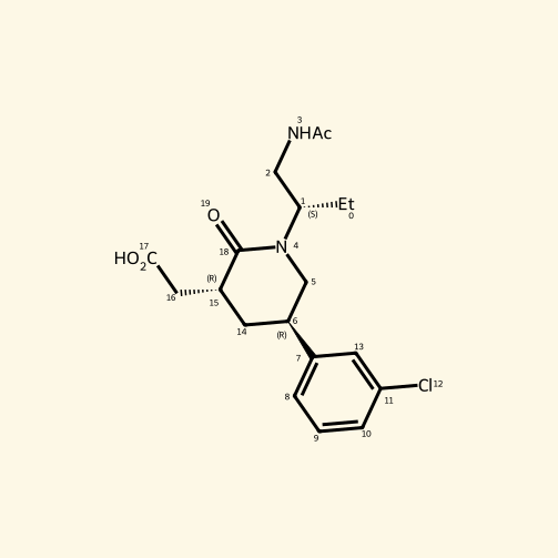 CC[C@@H](CNC(C)=O)N1C[C@@H](c2cccc(Cl)c2)C[C@H](CC(=O)O)C1=O